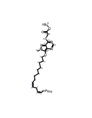 CCCCC/C=C\C/C=C\CCCCCCCCOc1c2ncnc(SCC(=O)OCCCC)c2nn1C